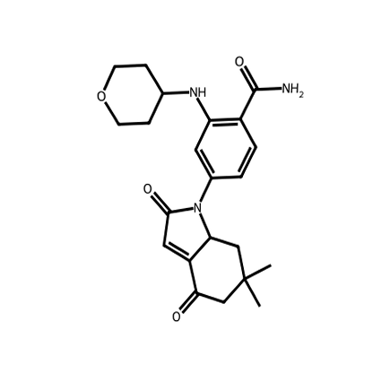 CC1(C)CC(=O)C2=CC(=O)N(c3ccc(C(N)=O)c(NC4CCOCC4)c3)C2C1